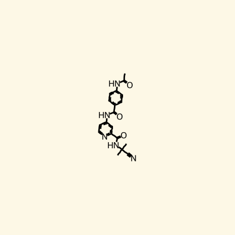 CC(=O)Nc1ccc(C(=O)Nc2ccnc(C(=O)NC(C)(C)C#N)c2)cc1